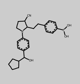 N#CC1CCN(c2ccc(C(O)C3CCCC3)cc2)C1CCc1ccc(P(O)O)cc1